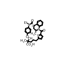 CCN(C(=O)[C@H]1C[C@H](C)N(C(=O)c2ccc(CCCC(C)(C)C(=O)O)s2)c2ccccc21)c1ccc(Cl)cc1